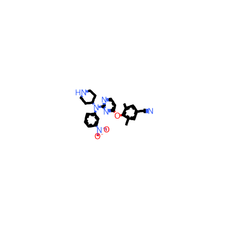 Cc1cc(C#N)cc(C)c1Oc1ccnc(N(c2cccc([N+](=O)[O-])c2)C2CCNCC2)n1